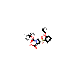 C=CCOc1ccccc1S(=O)(=O)[C@@H]1C[C@@H](C(=O)O)N(C(=O)OC(C)(C)C)C1